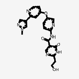 Cn1cc(-c2cc(Oc3ccc(NC(=O)c4cnc(CCO)[nH]c4=O)nc3)ccn2)cn1